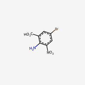 Nc1c(C(=O)O)cc(Br)cc1[N+](=O)[O-]